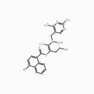 CC(=C(CCO)SC(=O)c1ccc(Br)c2ccccc12)N(C=O)Cc1cnc(C)nc1N